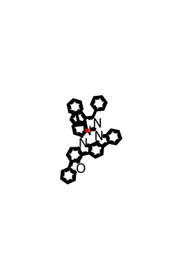 c1ccc(-c2ccc(-n3c4ccc5c6ccccc6oc5c4c4ccc5c6ccccc6n(-c6nc(-c7ccccc7)c7ccccc7n6)c5c43)cc2)cc1